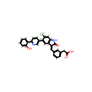 O=C(O)Cc1cccc(C=C2C(=O)Nc3cc(Cl)c(-c4ccc(-c5ccccc5O)nc4)cc32)c1